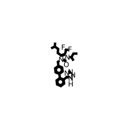 CCC(C)n1c(C(F)F)c(CCC(C)C)n(Cc2ccc(-c3ccccc3-c3nnn[nH]3)cc2)c1=O